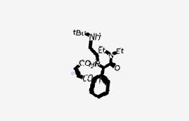 CCN(CC)C(=O)C(NCCNC(C)(C)C)c1ccccc1.O=C(O)/C=C\C(=O)O